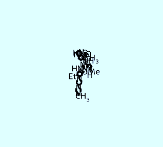 CCc1cc(Nc2nc(Nc3ccc4nccnc4c3P(C)(C)=O)c3cc[nH]c3n2)c(OC)cc1N1CCC(N2CCN(C)CC2)CC1